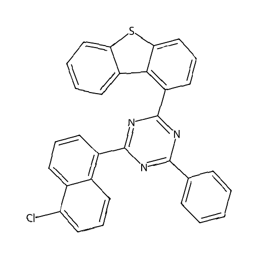 Clc1cccc2c(-c3nc(-c4ccccc4)nc(-c4cccc5sc6ccccc6c45)n3)cccc12